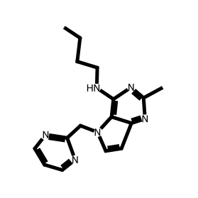 CCCCNc1nc(C)nc2ccn(Cc3ncccn3)c12